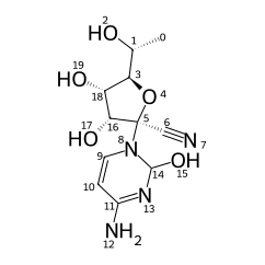 C[C@@H](O)[C@H]1O[C@@](C#N)(N2C=CC(N)=NC2O)[C@H](O)[C@@H]1O